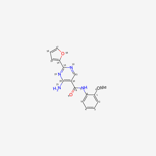 COc1ccccc1NC(=O)c1cnc(-c2ccco2)nc1N